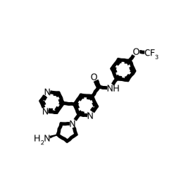 N[C@@H]1CCN(c2ncc(C(=O)Nc3ccc(OC(F)(F)F)cc3)cc2-c2cncnc2)C1